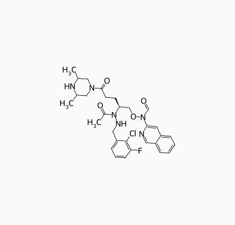 CC(=O)N(NCc1cccc(F)c1Cl)[C@@H](CCC(=O)N1CC(C)NC(C)C1)CON(C=O)c1cc2ccccc2cn1